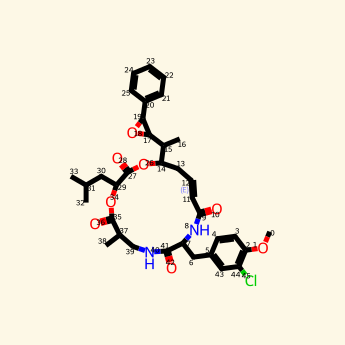 COc1ccc(CC2NC(=O)/C=C/CC(C(C)C3OC3c3ccccc3)OC(=O)C(CC(C)C)OC(=O)C(C)CNC2=O)cc1Cl